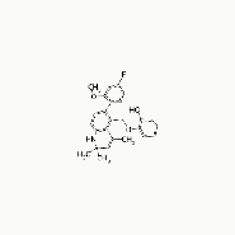 COc1cc(F)ccc1-c1ccc2c(c1COc1ccccc1O)C(C)=CC(C)(C)N2